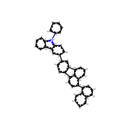 c1ccc(-n2c3ccccc3c3cc(-c4ccc5c(c4)-c4cccc6c(-c7cccc8ccccc78)ccc-5c46)ccc32)cc1